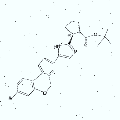 CC(C)(C)OC(=O)N1CCC[C@@H]1c1ncc(-c2ccc3c(c2)COc2cc(Br)ccc2-3)[nH]1